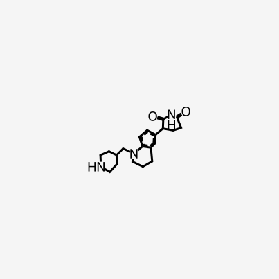 O=C1CCC(c2ccc3c(c2)CCCN3CC2CCNCC2)C(=O)N1